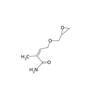 CC(=CCOCC1CO1)C(N)=O